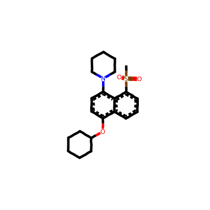 CS(=O)(=O)c1cccc2c(OC3CCCCC3)ccc(N3CCCCC3)c12